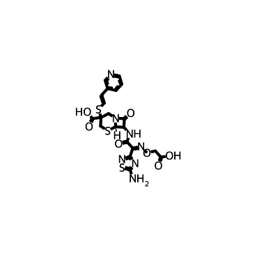 Nc1nc(C(=NOCC(=O)O)C(=O)NC2C(=O)N3CC(SC=Cc4cccnc4)(C(=O)O)CS[C@H]23)ns1